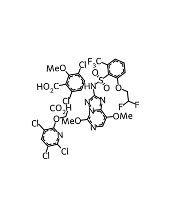 COc1c(Cl)ccc(Cl)c1C(=O)O.COc1cnc(OC)n2nc(NS(=O)(=O)c3c(OCC(F)F)cccc3C(F)(F)F)nc12.O=C(O)COc1nc(Cl)c(Cl)cc1Cl